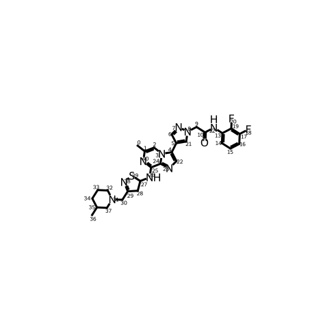 Cc1cn2c(-c3cnn(CC(=O)Nc4cccc(F)c4F)c3)cnc2c(NC2CC(CN3CCCC(C)C3)=NS2)n1